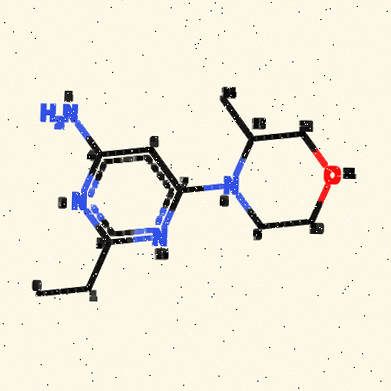 CCc1nc(N)cc(N2CCOCC2C)n1